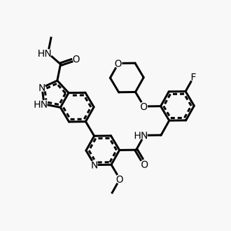 CNC(=O)c1n[nH]c2cc(-c3cnc(OC)c(C(=O)NCc4ccc(F)cc4OC4CCOCC4)c3)ccc12